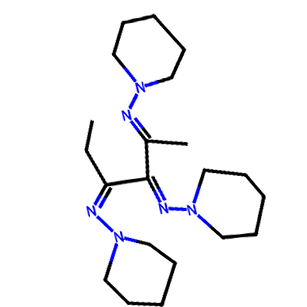 CCC(=NN1CCCCC1)C(=NN1CCCCC1)C(C)=NN1CCCCC1